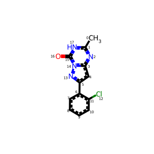 Cc1nc2cc(-c3ccccc3Cl)nn2c(=O)[nH]1